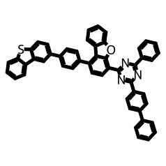 c1ccc(-c2ccc(-c3nc(-c4ccccc4)nc(-c4ccc(-c5ccc(-c6ccc7sc8ccccc8c7c6)cc5)c5c4oc4ccccc45)n3)cc2)cc1